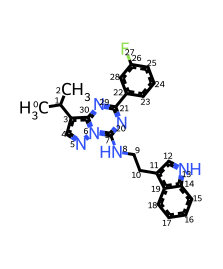 CC(C)c1cnn2c(NCCc3c[nH]c4ccccc34)nc(-c3cccc(F)c3)nc12